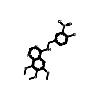 COc1cc2c(NCc3ccc(Cl)c([N+](=O)[O-])c3)ncnc2c(OC)c1OC